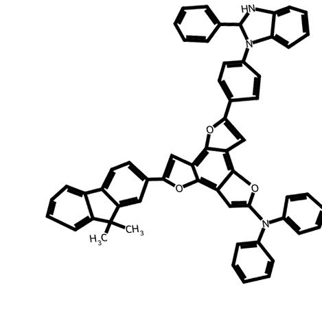 CC1(C)c2ccccc2-c2ccc(-c3cc4c5oc(-c6ccc(N7c8ccccc8NC7c7ccccc7)cc6)cc5c5oc(N(c6ccccc6)c6ccccc6)cc5c4o3)cc21